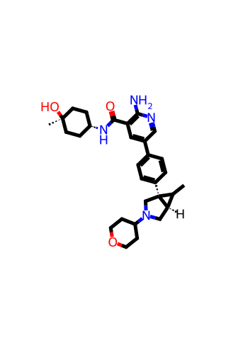 CC1[C@H]2CN(C3CCOCC3)C[C@@]12c1ccc(-c2cnc(N)c(C(=O)N[C@H]3CC[C@](C)(O)CC3)c2)cc1